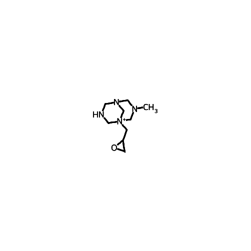 CN1CN2CNC[N+](CC3CO3)(C1)C2